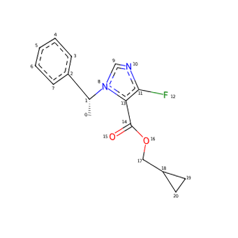 C[C@H](c1ccccc1)n1cnc(F)c1C(=O)OCC1CC1